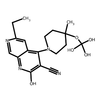 CCc1cc2c(N3CCC(C)(OC(O)(O)O)CC3)c(C#N)c(O)nc2cn1